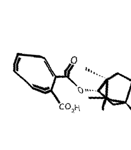 CC1(C)[C@@H]2CC[C@]1(C)[C@@H](OC(=O)c1ccccc1C(=O)O)C2